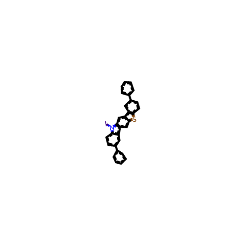 In1c2ccc(-c3ccccc3)cc2c2cc3sc4ccc(-c5ccccc5)cc4c3cc21